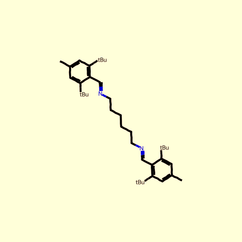 Cc1cc(C(C)(C)C)c(C=NCCCCCCN=Cc2c(C(C)(C)C)cc(C)cc2C(C)(C)C)c(C(C)(C)C)c1